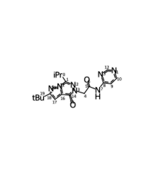 CC(C)c1nn(CC(=O)Nc2ccncn2)c(=O)c2cc(C(C)(C)C)nn12